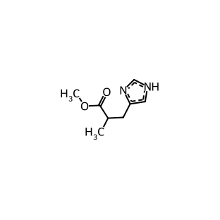 COC(=O)C(C)Cc1c[nH]cn1